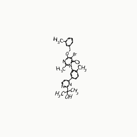 Cc1cccc(COc2nc(C)n(-c3cc(-c4ccnc(C(C)(C)O)n4)ccc3C)c(=O)c2Br)c1